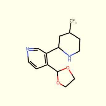 FC(F)(F)C1CCNC(c2cnccc2C2OCCO2)C1